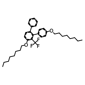 CCCCCCCCOc1ccc(-c2c(-c3ccccc3)ccc(OCCCCCCCC)c2C(F)(F)F)cc1